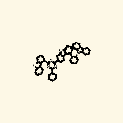 c1ccc(-c2nc(-c3ccc4c(c3)oc3cccc(-c5ccccc5-n5c6ccccc6c6ccccc65)c34)nc(-c3cccc4oc5ccccc5c34)n2)cc1